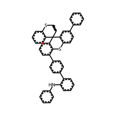 c1ccc(Nc2ccccc2-c2ccc(-c3cccc4c3Sc3ccc(-c5ccccc5)cc3C43c4ccccc4Sc4ccccc43)cc2)cc1